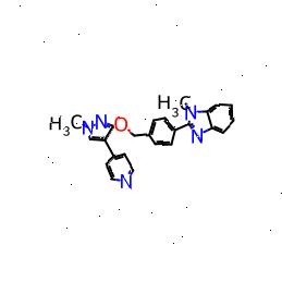 Cn1cc(-c2ccncc2)c(OCc2ccc(-c3nc4ccccc4n3C)cc2)n1